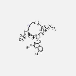 CC(C)Oc1cc2c(Cl)cccc2c(O[C@@H]2C[C@H]3C(=O)N[C@]4(C(=O)NS(=O)(=O)C5(C)CC5)CC4/C=C\CC[C@@H](C)C[C@@H](C)[C@H](NC(=O)OC(C)(C)C(F)(F)F)C(=O)N3C2)n1